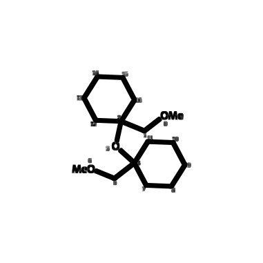 COCC1(OC2(COC)CCCCC2)CCCCC1